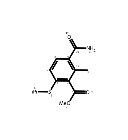 COC(=O)c1c(SC(C)C)ccc(C(N)=O)c1C